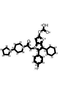 O=C(O)Oc1cc2c(s1)c(C1CCCCC1)c(-c1ccc(F)cc1)n2CC(=O)N1CCC(N2CCCC2)CC1